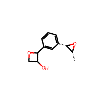 C[C@H]1O[C@H]1c1cccc(C2OCC2O)c1